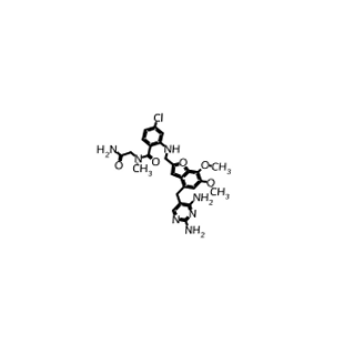 COc1cc(Cc2cnc(N)nc2N)c2cc(CNc3cc(Cl)ccc3C(=O)N(C)CC(N)=O)oc2c1OC